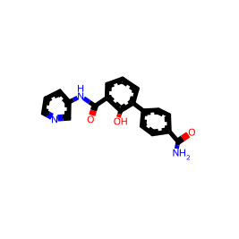 NC(=O)c1ccc(-c2cccc(C(=O)Nc3cccnc3)c2O)cc1